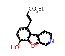 CCOC(=O)C=Cc1ccc(O)c2oc3cnccc3c12